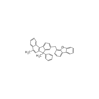 Cc1cc2c(c3ccccc13)-c1ccc(Cc3cccc4c3oc3ccccc34)cc1C2(C)c1ccccc1